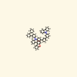 c1ccc(-c2ccccc2-c2cccc(N(c3ccc(-c4cccc(-c5cccc(-n6c7ccccc7c7ccccc76)c5)c4)cc3)c3ccccc3-c3cccc4oc5ccccc5c34)c2)cc1